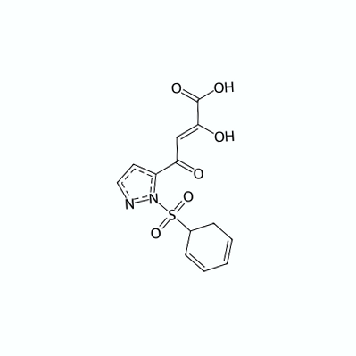 O=C(O)C(O)=CC(=O)c1ccnn1S(=O)(=O)C1C=CC=CC1